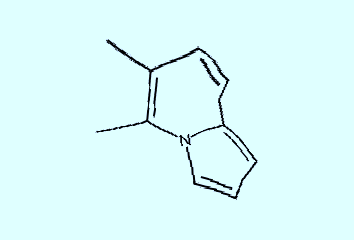 Cc1ccc2cccn2c1C